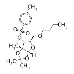 CCCCOC[C@H]1O[C@@H]2OC(C)(C)O[C@]2(C)[C@@H]1OS(=O)(=O)c1ccc(C)cc1